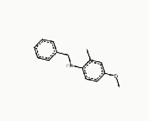 COc1ccc(NCc2ccccc2)c(C)c1